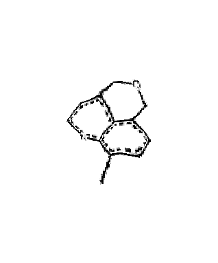 Cc1ccc2c3c(ccnc13)COC2